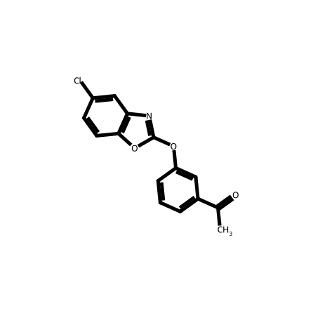 CC(=O)c1cccc(Oc2nc3cc(Cl)ccc3o2)c1